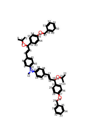 CC(C)OC(C=Cc1ccc(N(C)c2ccc(C=CC(OC(C)C)c3ccc(OCc4ccccc4)cc3)cc2)cc1)c1ccc(OCc2ccccc2)cc1